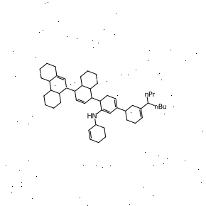 CCCCC(CCC)C1=CCCC(C2=CCC(C3C=CC(C4C=C5CCCCC5C5CCCCC45)C4CCCCC34)C(NC3C=CCCC3)=C2)C1